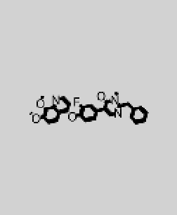 COc1ccc2c(Oc3ccc(-c4cnc(Cc5ccccc5)n(C)c4=O)cc3F)ccnc2c1OC